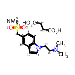 CNS(=O)(=O)Cc1ccc2c(ccn2CCN(C)C)c1.O=C(O)CCC(=O)O